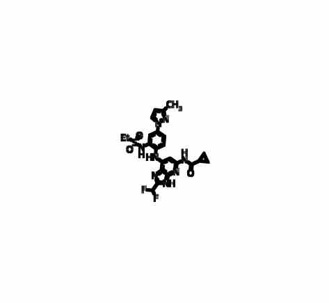 CCS(=O)(=O)Nc1cc(-n2ccc(C)n2)ccc1Nc1cc(NC(=O)C2CC2)nc2[nH]c(C(F)F)nc12